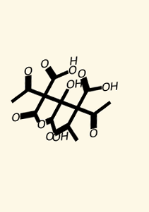 CC(=O)C(C(C)=O)(C(=O)O)C(O)(C(=O)O)C(C(C)=O)(C(C)=O)C(=O)O